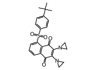 CC(C)(C)c1ccc(S(=O)(=O)c2cccc3c2C(=O)C(N2CC2)=C(N2CC2)C3=O)cc1